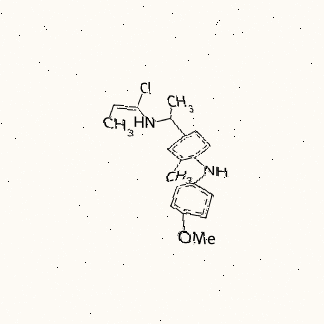 C/C=C(/Cl)NC(C)c1ccc(Nc2ccc(OC)cc2)c(C)c1